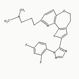 CN(C)CCCc1ccc2c(n1)-c1sc(-c3ncnn3-c3ccc(F)cc3F)cc1CCO2